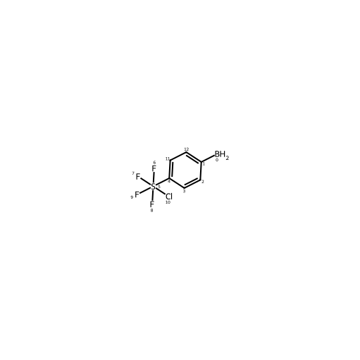 Bc1ccc(S(F)(F)(F)(F)Cl)cc1